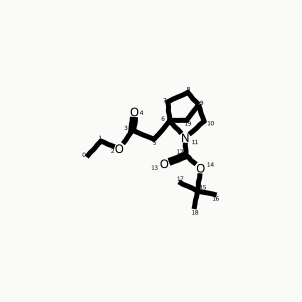 CCOC(=O)CC12CCC(CN1C(=O)OC(C)(C)C)C2